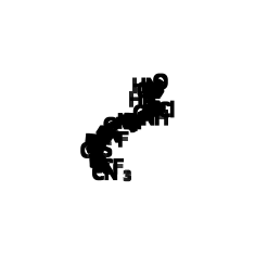 CC1CN(CCOc2ccc(N3C(=S)N(c4ccc(C#N)c(C(F)(F)F)c4)C(=O)C34CCC4)cc2CCF)CCN1CC(=O)Nc1cc(Cl)cc(NC2CCC(=O)NC2=O)c1